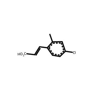 Cc1cc(Cl)ccc1C=CC(=O)O